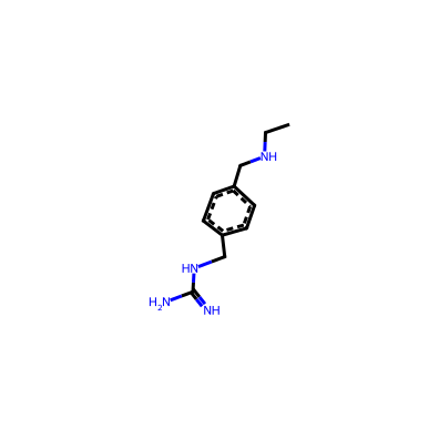 CCNCc1ccc(CNC(=N)N)cc1